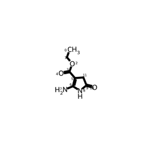 CCOC(=O)C1=C(N)NC(=O)C1